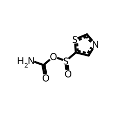 NC(=O)OS(=O)c1cncs1